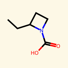 CCC1CCN1C(=O)O